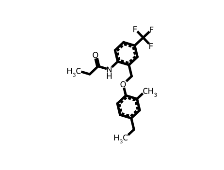 CCC(=O)Nc1ccc(C(F)(F)F)cc1COc1ccc(CC)cc1C